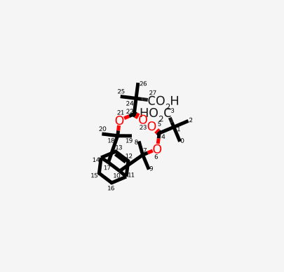 CC(C)(C(=O)O)C(=O)OC(C)(C)C1C2C=CC(CC2)C1C(C)(C)OC(=O)C(C)(C)C(=O)O